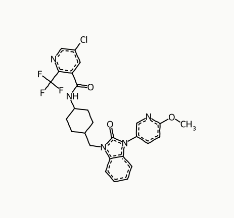 COc1ccc(-n2c(=O)n(CC3CCC(NC(=O)c4cc(Cl)cnc4C(F)(F)F)CC3)c3ccccc32)cn1